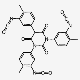 Cc1ccc(C2C(=O)N(c3ccc(C)c(N=C=O)c3)C(=O)N(c3ccc(C)c(N=C=O)c3)C2=O)cc1N=C=O